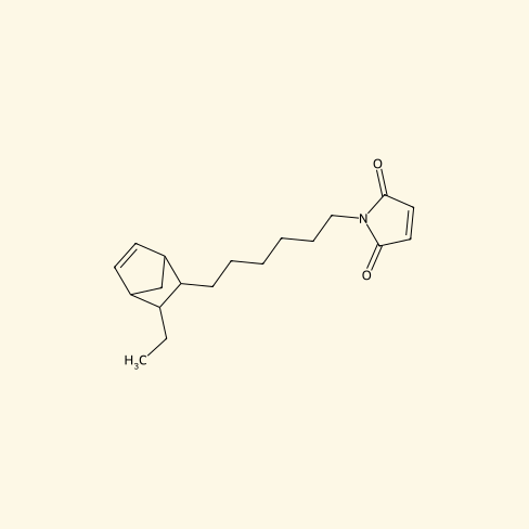 CCC1C2C=CC(C2)C1CCCCCCN1C(=O)C=CC1=O